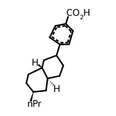 CCC[C@H]1CC[C@@H]2CC(c3ccc(C(=O)O)cc3)CC[C@H]2C1